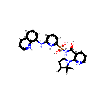 CC1CCN(c2ncccc2C(=O)NS(=O)(=O)c2cccc(Nc3cccc4cccnc34)n2)C1(C)C